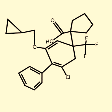 O=C(O)C1(C2(C(F)(F)F)C=C(OCC3CC3)C(c3ccccc3)=C(Cl)C2)CCCC1